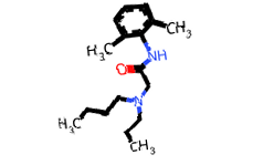 CCCCN(CCC)CC(=O)Nc1c(C)cccc1C